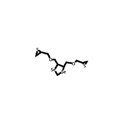 C1[Se]C(COCC2CS2)C(COCC2CS2)[Se]1